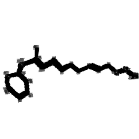 CCOOC/C=C/CCCCC[C@H](C)OC1CCCCO1